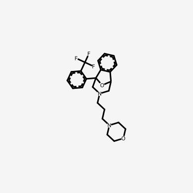 FC(F)(F)c1ccccc1C12CN(CCCN3CCOCC3)CC(O1)c1ccccc12